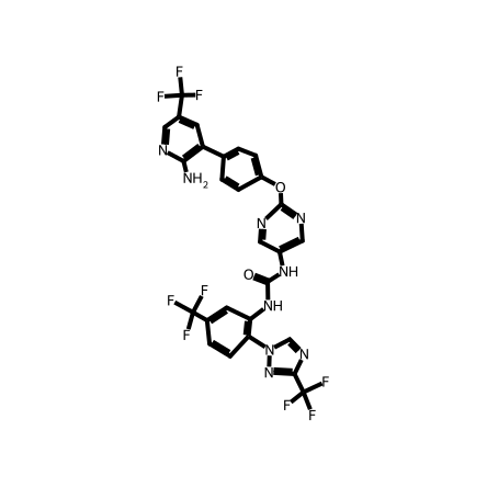 Nc1ncc(C(F)(F)F)cc1-c1ccc(Oc2ncc(NC(=O)Nc3cc(C(F)(F)F)ccc3-n3cnc(C(F)(F)F)n3)cn2)cc1